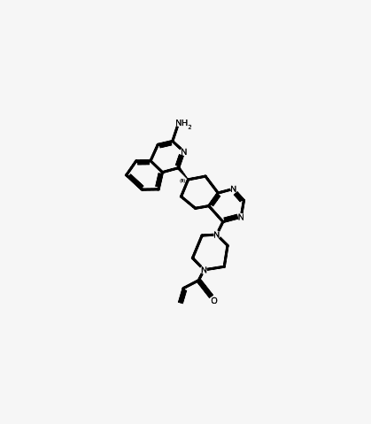 C=CC(=O)N1CCN(c2ncnc3c2CC[C@@H](c2nc(N)cc4ccccc24)C3)CC1